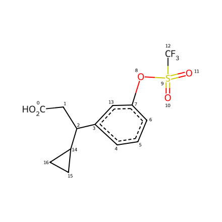 O=C(O)CC(c1cccc(OS(=O)(=O)C(F)(F)F)c1)C1CC1